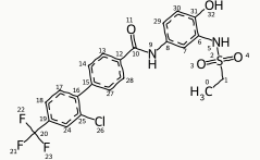 CCS(=O)(=O)Nc1cc(NC(=O)c2ccc(-c3ccc(C(F)(F)F)cc3Cl)cc2)ccc1O